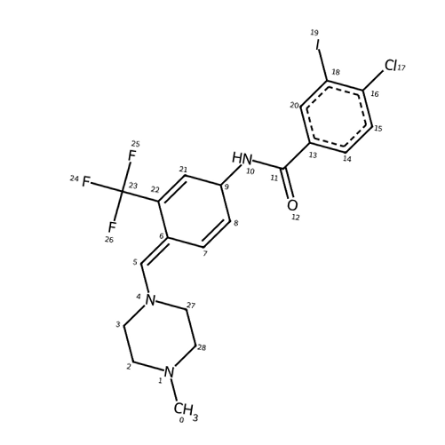 CN1CCN(/C=C2\C=CC(NC(=O)c3ccc(Cl)c(I)c3)C=C2C(F)(F)F)CC1